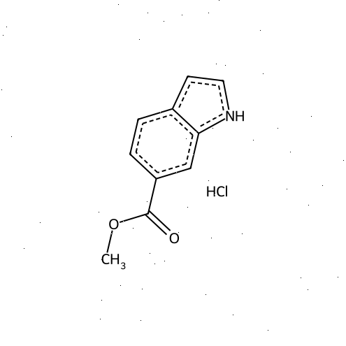 COC(=O)c1ccc2cc[nH]c2c1.Cl